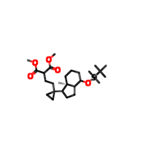 COC(=O)C(CCC1(C2CCC3C(O[Si](C)(C)C(C)(C)C)CCC[C@@]32C)CC1)C(=O)OC